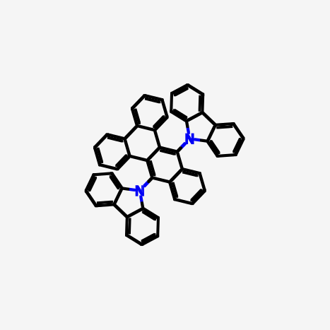 c1ccc2c(-n3c4ccccc4c4ccccc43)c3c4ccccc4c4ccccc4c3c(-n3c4ccccc4c4ccccc43)c2c1